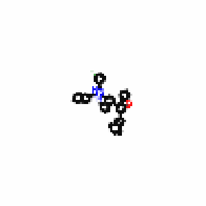 CC1(C)CCC(C)(C)c2cc(-c3cc(-c4ccc(-c5nc(-c6cccc(F)c6)nc(-c6ccc7ccccc7c6)n5)c5ccccc45)c4c(c3)oc3ccccc34)ccc21